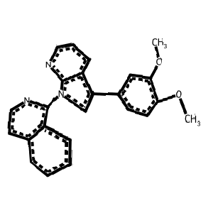 COc1ccc(-c2cn(-c3nccc4ccccc34)c3ncccc23)cc1OC